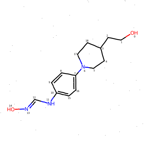 OCCC1CCN(c2ccc(N/C=N/O)cc2)CC1